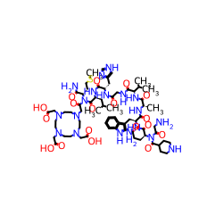 CSCC[C@@H](C(N)=O)N(C(=O)CN1CCN(CC(=O)O)CCN(CC(=O)O)CCN(CC(=O)O)CC1)C(=O)[C@H](CC(C)C)NC(=O)[C@H](Cc1c[nH]cn1)NC(=O)CNC(=O)[C@@H](NC(=O)[C@H](C)NC(=O)[C@H](Cc1c[nH]c2ccccc12)NC(=O)[C@H](CCC(N)=O)N(C(=O)CN)C(=O)C1CCNCC1)C(C)C